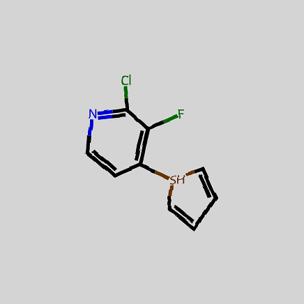 Fc1c([SH]2C=CC=C2)ccnc1Cl